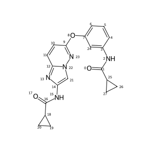 O=C(Nc1cccc(Oc2ccc3nc(NC(=O)C4CC4)cn3n2)c1)C1CC1